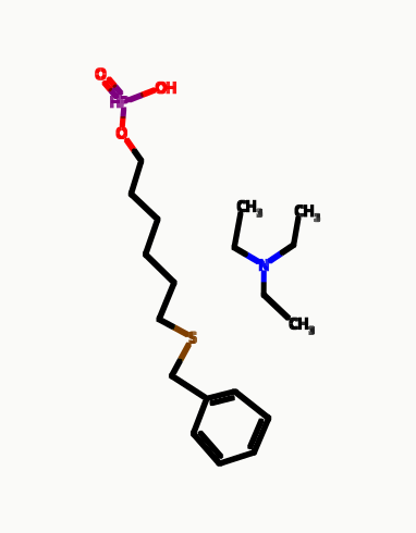 CCN(CC)CC.O=[PH](O)OCCCCCCSCc1ccccc1